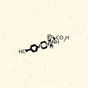 C#Cc1ccc(N2CCN(S(=O)(=O)N[C@@H](C(=O)O)C(C)C)CC2)cc1